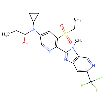 CCC(O)N(c1cnc(-c2nc3cc(C(F)(F)F)ncc3n2C)c(S(=O)(=O)CC)c1)C1CC1